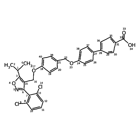 CC(C)c1onc(-c2c(Cl)cccc2Cl)c1COc1ccc(COc2ccc(-c3ccc(C(=O)O)cc3)cc2)cc1